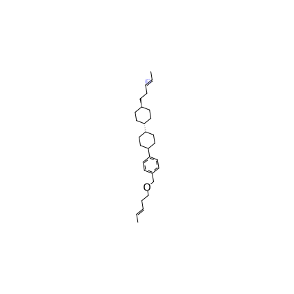 CC=CCCOCc1ccc(C2CCC([C@H]3CC[C@H](CC/C=C/C)CC3)CC2)cc1